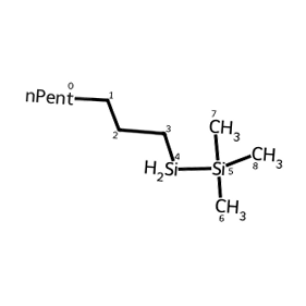 CCCCCCCC[SiH2][Si](C)(C)C